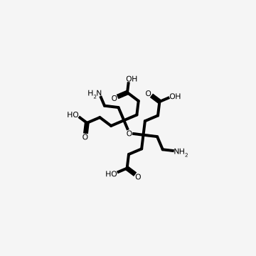 NCCC(CCC(=O)O)(CCC(=O)O)OC(CCN)(CCC(=O)O)CCC(=O)O